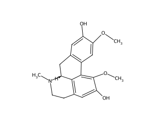 COc1cc2c(cc1O)C[C@@H]1c3c(cc(O)c(OC)c3-2)CCN1C